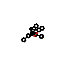 c1ccc(-c2ccc(N(c3ccc(-c4ccccc4)cc3)c3cccc4c3C3(c5ccccc5Oc5cc6ccccc6cc53)c3ccccc3-4)cc2)cc1